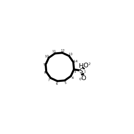 O=[SH](=O)C1CCCCCCCCCCC1